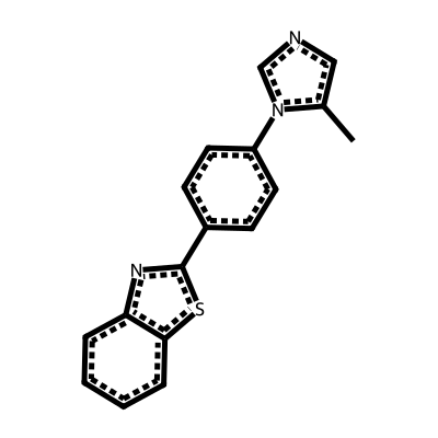 Cc1cncn1-c1ccc(-c2nc3ccccc3s2)cc1